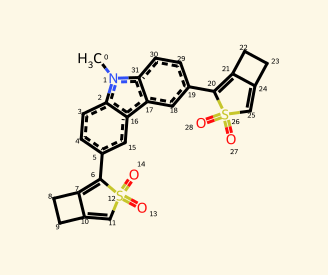 Cn1c2ccc(C3=C4CCC4=CS3(=O)=O)cc2c2cc(C3=C4CCC4=CS3(=O)=O)ccc21